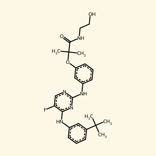 CC(C)(Oc1cccc(Nc2ncc(F)c(Nc3cccc(C(C)(C)C)c3)n2)c1)C(=O)NCCO